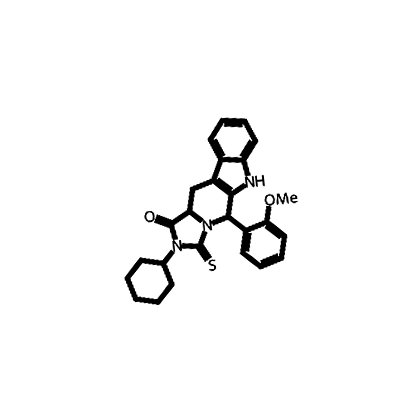 COc1ccccc1C1c2[nH]c3ccccc3c2CC2C(=O)N(C3CCCCC3)C(=S)N21